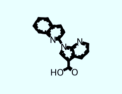 O=C(O)c1cn(-c2ccc3ccccc3n2)c2ncccc12